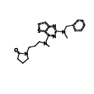 CN(Cc1ccccc1)c1nc(N(C)CCCN2CCCC2=O)c2sccc2n1